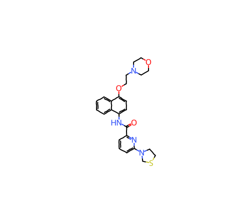 O=C(Nc1ccc(OCCN2CCOCC2)c2ccccc12)c1cccc(N2CCSC2)n1